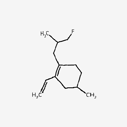 C=CC1=C(CC(C)CF)CCC(C)C1